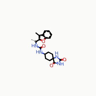 Cc1c([C@@H](C)NC(=O)NC2CCC3(CC2)NC(=O)NC3=O)oc2ccccc12